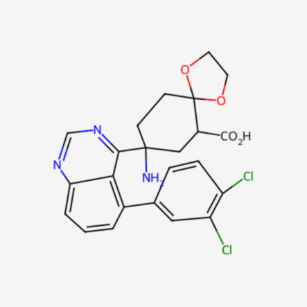 NC1(c2ncnc3cccc(-c4ccc(Cl)c(Cl)c4)c23)CCC2(OCCO2)C(C(=O)O)C1